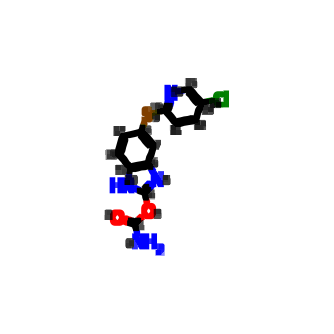 NC(=O)Oc1nc2cc(Sc3ccc(Cl)cn3)ccc2[nH]1